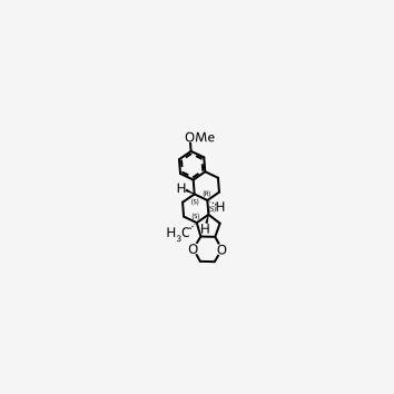 COc1ccc2c(c1)CC[C@@H]1[C@@H]2CC[C@]2(C)C3OCCOC3C[C@@H]12